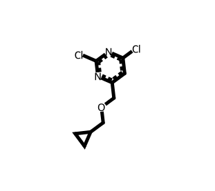 Clc1cc(COCC2CC2)nc(Cl)n1